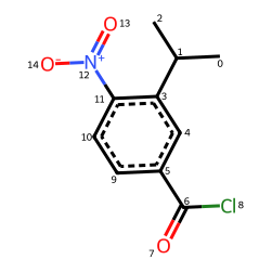 CC(C)c1cc(C(=O)Cl)ccc1[N+](=O)[O-]